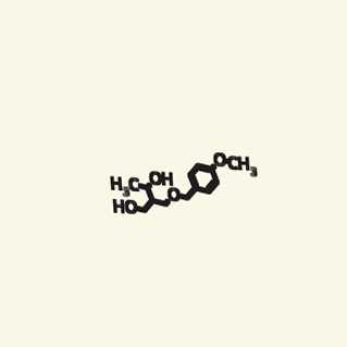 COc1ccc(COCC(CO)C(C)O)cc1